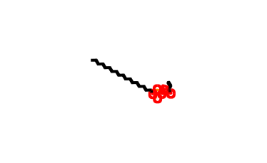 C=CC(=O)OOP(=O)(O)OCCCCCCCCCCCCCCCCCC